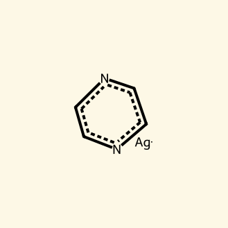 [Ag].c1cnccn1